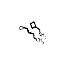 CCCCCCl.NCC1CCC1